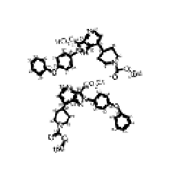 CC(C)(C)OC(=O)N1CCC(c2ccnc3c(C(=O)O)n(-c4ccc(Oc5ccccc5)cc4)nc23)CC1.CCOC(=O)c1c2nccc(C3CCN(C(=O)OC(C)(C)C)CC3)c2nn1-c1ccc(Oc2ccccc2)cc1